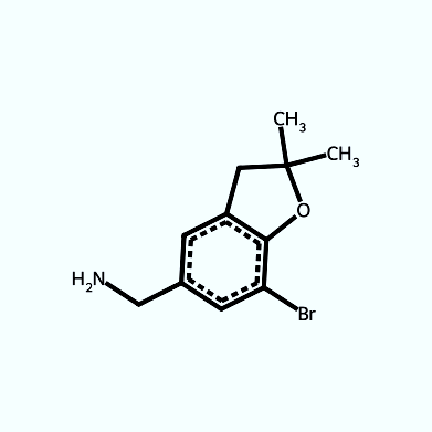 CC1(C)Cc2cc(CN)cc(Br)c2O1